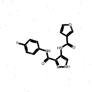 O=C(Nc1c[nH]nc1C(=O)Nc1ccc(F)cc1)c1ccoc1